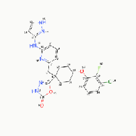 O=c1[nH]nc(C2(Cc3cccc(Nc4cc[nH]n4)n3)CCC(Oc3cccc(Cl)c3F)CC2)o1